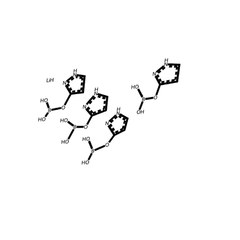 OB(O)Oc1cc[nH]n1.OB(O)Oc1cc[nH]n1.OB(O)Oc1cc[nH]n1.OB(O)Oc1cc[nH]n1.[LiH]